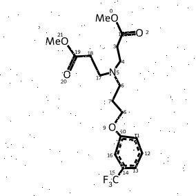 COC(=O)CCN(CCCOc1cccc(C(F)(F)F)c1)CCC(=O)OC